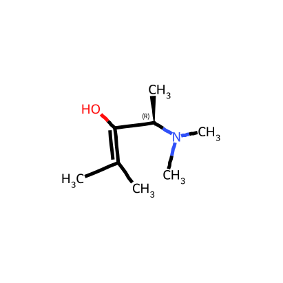 CC(C)=C(O)[C@@H](C)N(C)C